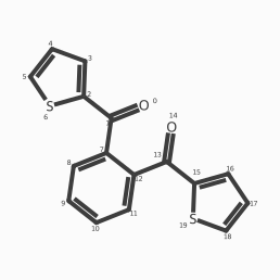 O=C(c1cccs1)c1ccccc1C(=O)c1cccs1